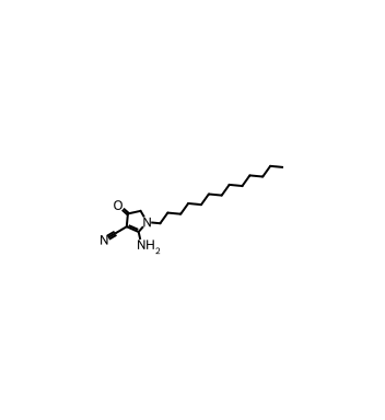 CCCCCCCCCCCCCN1CC(=O)C(C#N)=C1N